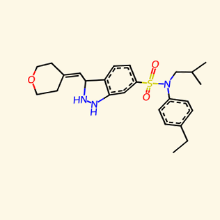 CCc1ccc(N(CC(C)C)S(=O)(=O)c2ccc3c(c2)NNC3C=C2CCOCC2)cc1